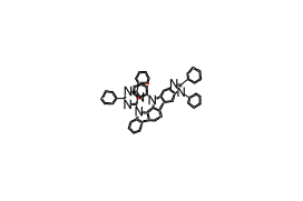 c1ccc(-c2nc(-c3ccccc3)nc(-n3c4ccccc4c4ccc5c6cc7c(cc6n(-c6ccccc6)c5c43)nc(-c3ccccc3)n7-c3ccccc3)n2)cc1